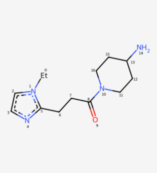 CCn1ccnc1CCC(=O)N1CCC(N)CC1